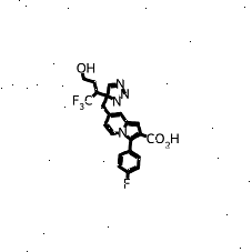 O=C(O)c1cc2cc(CC3(C(CCO)C(F)(F)F)C=NN=N3)ccn2c1-c1ccc(F)cc1